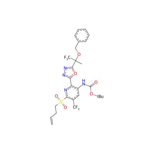 C=CCCS(=O)(=O)c1nc(-c2nnc(C(C)(OCc3ccccc3)C(F)(F)F)o2)c(NC(=O)OC(C)(C)C)cc1C(F)(F)F